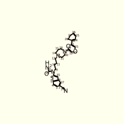 N#Cc1ccc2sc(N(CCCCN3CCCN(C4=COC=C(C5=CC=CCC5)O4)CC3)C(N)=O)cc2c1